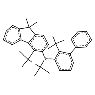 CC(C)(C)c1c(-c2ccccc2)cccc1N(c1ccc2c(c1C(C)(C)C)-c1ccccc1C2(C)C)C(C)(C)C